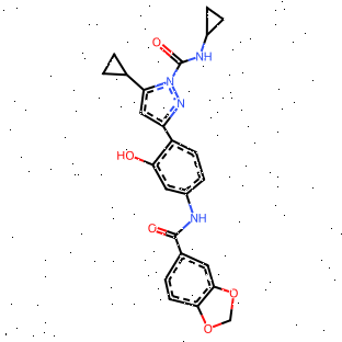 O=C(Nc1ccc(-c2cc(C3CC3)n(C(=O)NC3CC3)n2)c(O)c1)c1ccc2c(c1)OCO2